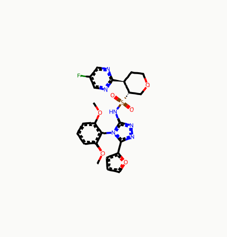 COc1cccc(OC)c1-n1c(NS(=O)(=O)[C@H]2COCC[C@@H]2c2ncc(F)cn2)nnc1-c1ccco1